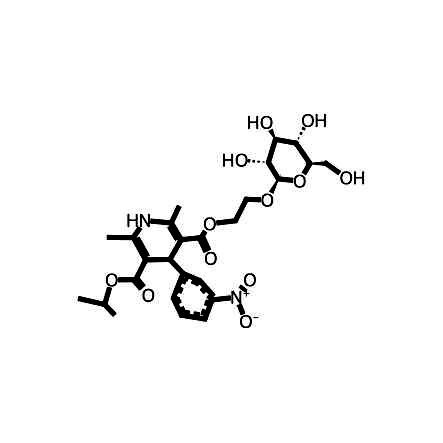 CC1=C(C(=O)OCCO[C@@H]2O[C@H](CO)[C@@H](O)[C@H](O)[C@H]2O)C(c2cccc([N+](=O)[O-])c2)C(C(=O)OC(C)C)=C(C)N1